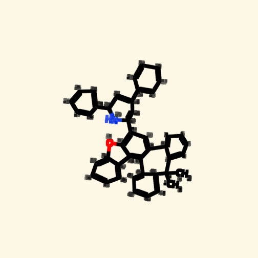 CC1(C)c2ccccc2-c2cc(C3=CC(c4ccccc4)=CC(c4ccccc4)N3)c3oc4ccccc4c3c2-c2ccccc21